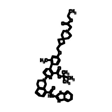 CCOC(=O)CN1CCC2(CC1)CC(COc1ccc(-c3ccc(N4CCc5cccc(C(=O)Nc6nc7ccccc7s6)c5C4)nc3C(=O)OC(C)(C)C)c(C)c1)C2